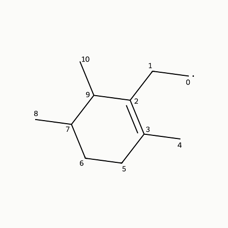 [CH2]CC1=C(C)CCC(C)C1C